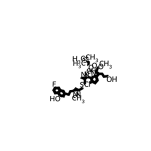 COC(=O)c1c(CCCO)c2ccc(Cl)c(-c3c(CSCc4cc(CCc5cc(O)c6ccc(F)cc6c5)n(C)n4)cnn3C)c2n1COCCS(C)(C)C